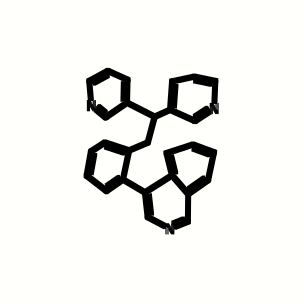 c1cncc(C(Cc2ccccc2-c2cncc3ccccc23)c2cccnc2)c1